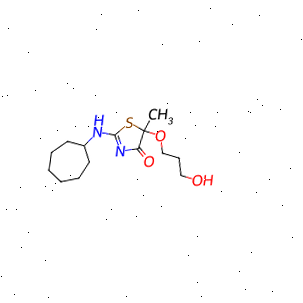 CC1(OCCCO)SC(NC2CCCCCC2)=NC1=O